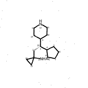 CC(=O)NC1(C[C@@H](C2CCCC2)C2CCNCC2)CC1